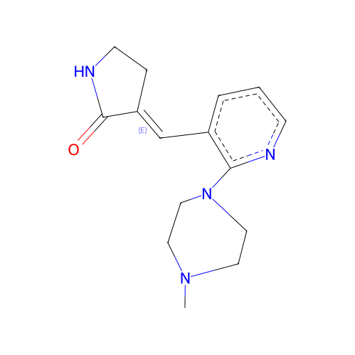 CN1CCN(c2ncccc2/C=C2\CCNC2=O)CC1